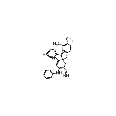 Cc1ccc(CC2(C(=O)c3ccccn3)CC(C=N)=C(Nc3ccccc3)C=C2CCS)cc1C